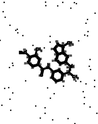 Cc1cc(C(=O)Nc2cccc([C@H](C)Nc3cnc4cnn(C)c4n3)c2)cnc1OCC(C)C